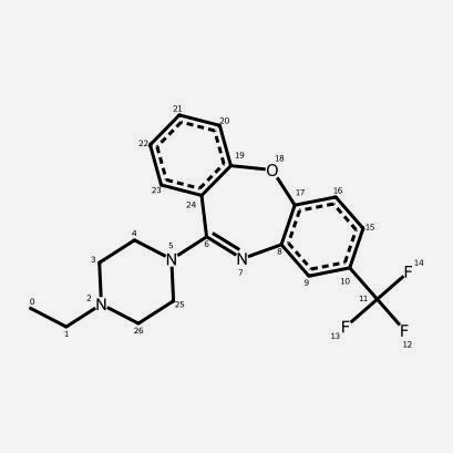 CCN1CCN(C2=Nc3cc(C(F)(F)F)ccc3Oc3ccccc32)CC1